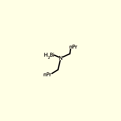 CCCC[N]([BiH2])CCCC